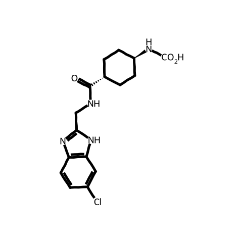 O=C(O)N[C@H]1CC[C@H](C(=O)NCc2nc3ccc(Cl)cc3[nH]2)CC1